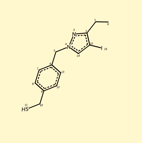 CCc1nn(Cc2ccc(CS)cc2)cc1I